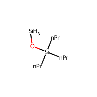 CCC[Si](CCC)(CCC)O[SiH3]